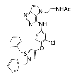 CC(=O)NCCn1ccc2ncnc(Nc3ccc(OC4=CN(Cc5ccccc5)S(Cc5ccccc5)=C4)c(Cl)c3)c21